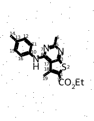 CCOC(=O)c1sc2nc(C)nc(Nc3ccc(C)cc3)c2c1C